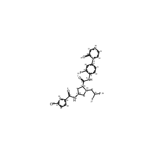 O=C(N[C@H]1C[C@@H](C(=O)Nc2ccc(-n3ccncc3=O)cc2F)N(CC(F)F)C1)c1ccc(Cl)s1